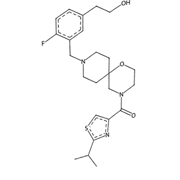 CC(C)c1nc(C(=O)N2CCOC3(CCN(Cc4cc(CCO)ccc4F)CC3)C2)cs1